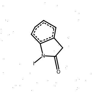 O=C1Cc2ccccc2N1I